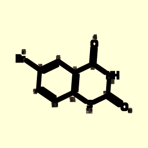 O=c1[nH]c(=O)c2cc(Br)ccc2s1